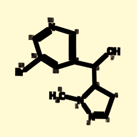 CN1N=CCC1C(O)c1cncc(Br)c1